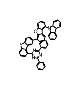 C1=CC2c3ccccc3N(c3cccc4oc5c(-c6ccc7sc8cccc(-c9nc(-c%10ccccc%10)nc(-c%10ccccc%10)n9)c8c7c6)cccc5c34)C2C=C1